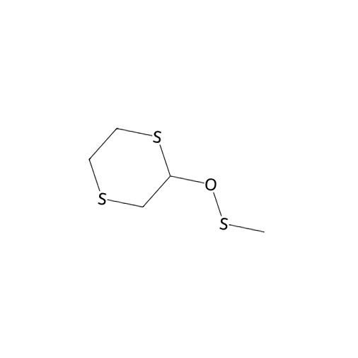 CSOC1CSCCS1